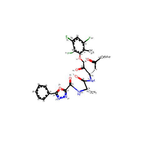 COC(=O)C[C@H](NC(=O)[C@H](C)NC(=O)c1nnc(-c2ccccc2)o1)C(=O)COc1c(C)c(F)cc(F)c1F